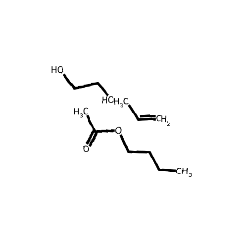 C=CC.CCCCOC(C)=O.OCCO